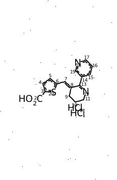 Cl.Cl.O=C(O)c1ccc(C=C2CCCN=C2c2cccnc2)s1